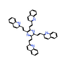 C(=Cc1nc(C=Cc2ccc3ccccc3n2)c(C=Cc2ccc3ccccc3n2)nc1C=Cc1ccc2ccccc2n1)c1ccc2ccccc2n1